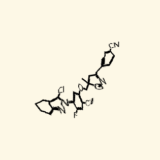 CC1(COc2cc(-n3nc4c(c3Cl)CCCC4)c(F)cc2Cl)CC(c2ccc(C#N)cc2)=NO1